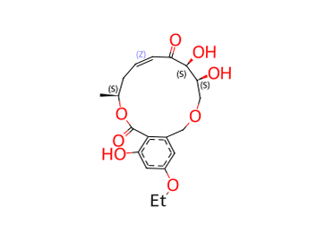 CCOc1cc(O)c2c(c1)COC[C@H](O)[C@H](O)C(=O)/C=C\C[C@H](C)OC2=O